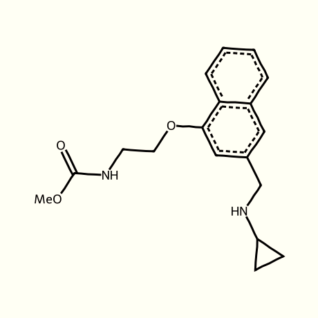 COC(=O)NCCOc1cc(CNC2CC2)cc2ccccc12